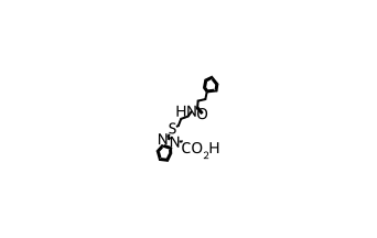 O=C(O)Cn1c(SCCCNC(=O)CCc2ccccc2)nc2ccccc21